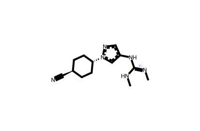 C/N=C(\NC)Nc1cnn([C@H]2CC[C@H](C#N)CC2)c1